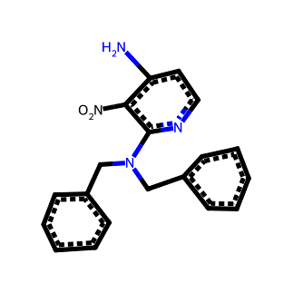 Nc1ccnc(N(Cc2ccccc2)Cc2ccccc2)c1[N+](=O)[O-]